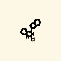 Clc1nc(-c2ccc3ccccc3c2)c2ccccc2n1